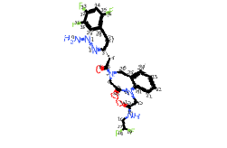 NN=N[C@@H](CC(=O)N1CC(=O)N(CC(=O)NCC(F)F)c2ccccc2C1)Cc1cc(F)c(F)cc1F